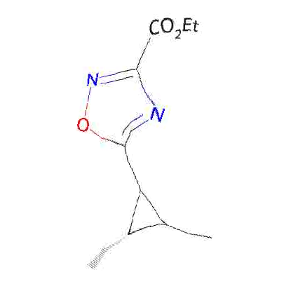 CCOC(=O)c1noc(C2C(C)[C@@H]2C)n1